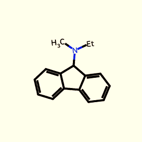 CCN(C)C1c2ccccc2-c2ccccc21